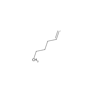 [C]=CCCCC